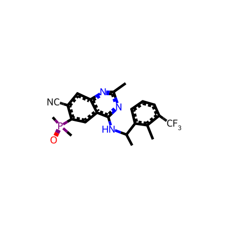 Cc1nc(NC(C)c2cccc(C(F)(F)F)c2C)c2cc(P(C)(C)=O)c(C#N)cc2n1